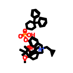 COC12CCC3(CC1C(C)(O)C(C)(C)C)C1Cc4ccc(OP(=O)(O)OC5CCC(c6ccccc6)(c6ccccc6)CC5)c5c4C3(CCN1CC1CC1)C2O5